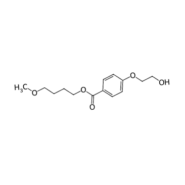 COCCCCOC(=O)c1ccc(OCCO)cc1